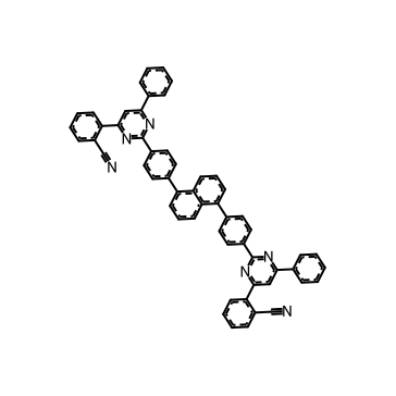 N#Cc1ccccc1-c1cc(-c2ccccc2)nc(-c2ccc(-c3cccc4c(-c5ccc(-c6nc(-c7ccccc7)cc(-c7ccccc7C#N)n6)cc5)cccc34)cc2)n1